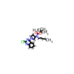 CCCCCN(C(=O)OC(C)(C)C)C1CCN(c2nc(Cl)nc3ccccc23)C1